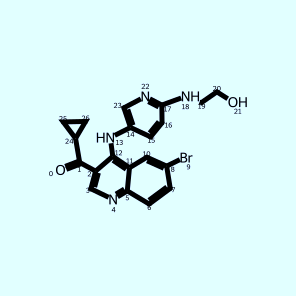 O=C(c1cnc2ccc(Br)cc2c1Nc1ccc(NCCO)nc1)C1CC1